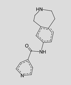 O=C(Nc1ccc2c(c1)CCNCC2)c1ccncc1